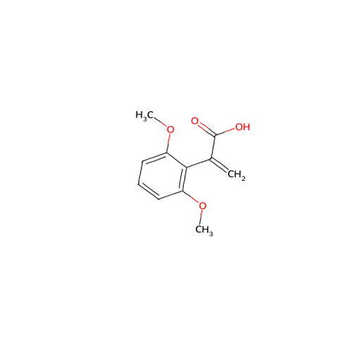 C=C(C(=O)O)c1c(OC)cccc1OC